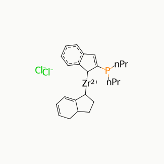 CCCP(CCC)C1=Cc2ccccc2[CH]1[Zr+2][CH]1CCC2CC=CC=C21.[Cl-].[Cl-]